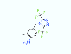 Cc1cc(Cn2c(C(F)(F)F)nnc2C(F)(F)F)ccc1N